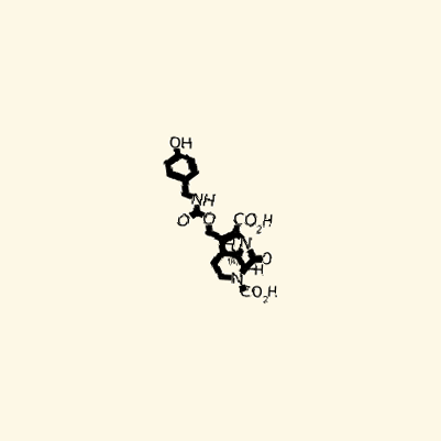 O=C(NCc1ccc(O)cc1)OCC1=C(C(=O)O)N2C(=O)[C@@H]3[C@H]2C1CCN3C(=O)O